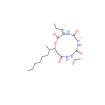 CCCCCCC(C)C1CC(=O)N[C@@H](C(C)C)C(=O)N[C@@H](C)C(=O)N[C@H]([C@@H](C)CC)C(=O)O1